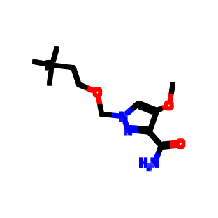 COc1cn(COCC[Si](C)(C)C)nc1C(N)=O